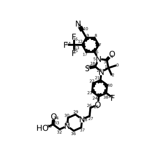 CC1(C)C(=O)N(c2ccc(C#N)c(C(F)(F)F)c2)C(=S)N1c1ccc(OCCN2CCN(CC(=O)O)CC2)c(F)c1